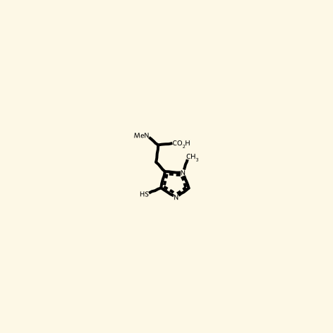 CNC(Cc1c(S)ncn1C)C(=O)O